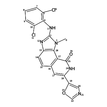 Cn1c(Nc2c(Cl)cccc2Cl)nc2ccc3cc(-c4cnco4)[nH]c(=O)c3c21